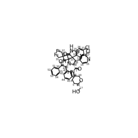 O=C(N[C@@H]1CC[C@@H](CO)OC1)[C@H]1[C@H](c2ccnc(Cl)c2F)C2(C(=O)Nc3cc(Cl)ccc32)C2(CC(CF)(CF)C2)N1[C@H](c1ccccc1)[C@@H](O)c1ccccc1